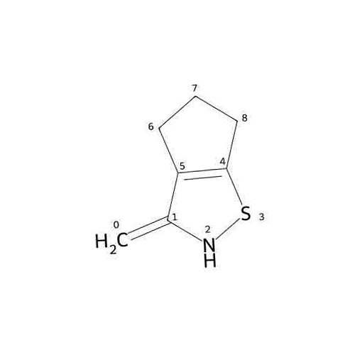 C=C1NSC2=C1CCC2